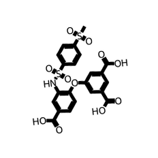 CS(=O)(=O)c1ccc(S(=O)(=O)Nc2cc(C(=O)O)ccc2Oc2cc(C(=O)O)cc(C(=O)O)c2)cc1